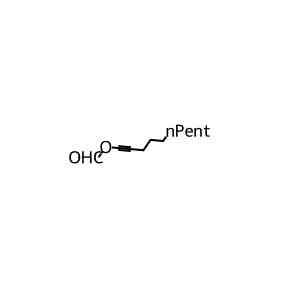 CCCCCCCCC#CO[C]=O